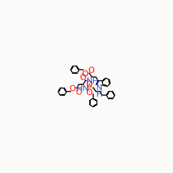 O=C(CC(NP(=O)(CCCCc1ccccc1)OCc1ccccc1)C(=O)NC(Cc1c[nH]c2ccccc12)C(=O)OCc1ccccc1)OCc1ccccc1